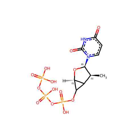 C[C@H]1C2C(OP(=O)(O)OP(=O)(O)OP(=O)(O)O)[C@H]2O[C@H]1n1ccc(=O)[nH]c1=O